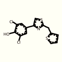 Oc1c(Cl)cc(-c2csc(Cc3cccs3)n2)cc1Cl